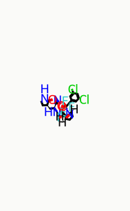 N#C[C@H](C[C@H]1CCNC1=O)NC(=O)[C@@H]1[C@@H]2CC[C@@H](CC2(F)F)N1C(=O)C(F)(F)c1cc(Cl)cc(Cl)c1